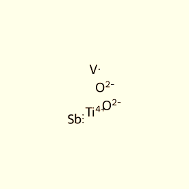 [O-2].[O-2].[Sb].[Ti+4].[V]